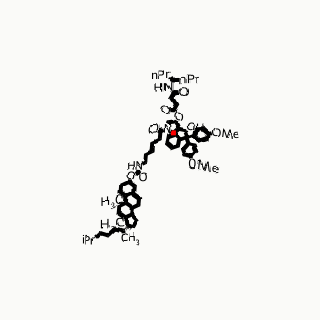 CCCC(CCC)NC(=O)CCC(=O)OC1CN(C(=O)CCCCCNC(=O)OC2CC[C@@]3(C)C(=CCC4C3CC[C@@]3(C)C4CC[C@@H]3C(C)CCCC(C)C)C2)CC1C(O)C(c1ccccc1)(c1ccc(OC)cc1)c1ccc(OC)cc1